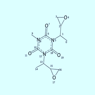 CC(C1CO1)n1c(=O)n(C)c(=O)n(C(C)C2CO2)c1=O